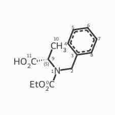 CCOC(=O)N(Cc1ccccc1)[C@@H](C)C(=O)O